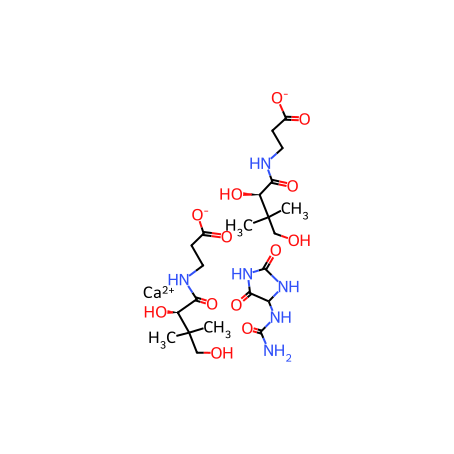 CC(C)(CO)[C@@H](O)C(=O)NCCC(=O)[O-].CC(C)(CO)[C@@H](O)C(=O)NCCC(=O)[O-].NC(=O)NC1NC(=O)NC1=O.[Ca+2]